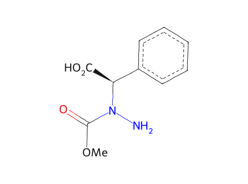 COC(=O)N(N)[C@@H](C(=O)O)c1ccccc1